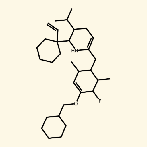 C=CC1(C2NC(CC3C(C)C=C(OCC4CCCCC4)C(F)C3C)=CCC2C(C)C)CCCCC1